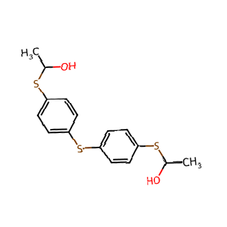 CC(O)Sc1ccc(Sc2ccc(SC(C)O)cc2)cc1